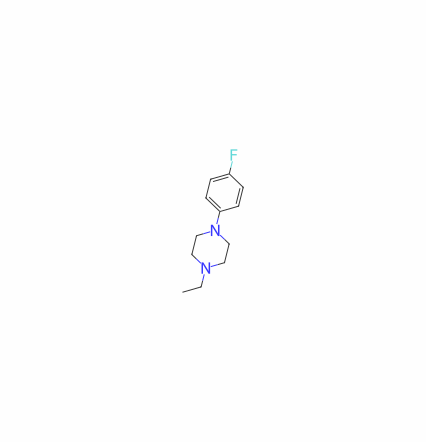 CCN1CCN(c2ccc(F)cc2)CC1